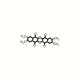 Cc1cc2c(=O)c3sc4c(=O)c5cc(C)c(C)cc5c(=O)c4sc3c(=O)c2cc1C